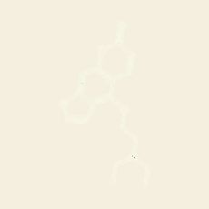 CCN(CC)CCOc1c2ccoc2cc2oc(=O)ccc12